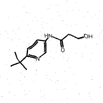 CC(C)(C)c1ccc(NC(=O)CCO)cn1